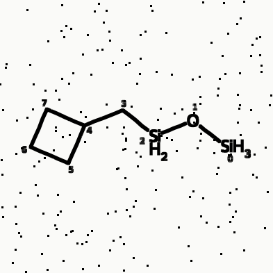 [SiH3]O[SiH2]CC1CCC1